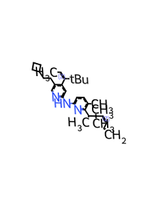 C=C/C=C\C(C)(C)C(C)c1nc(Nc2cc(/C(=C\C)C(C)(C)C)c(CCC3CCC3)cn2)ccc1C